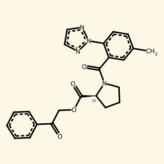 Cc1ccc(-n2nccn2)c(C(=O)N2CCC[C@H]2C(=O)OCC(=O)c2ccccc2)c1